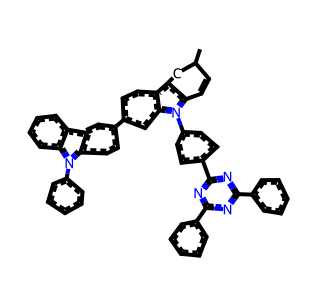 CC1C=Cc2c(c3ccc(-c4ccc5c(c4)c4ccccc4n5-c4ccccc4)cc3n2-c2ccc(-c3nc(-c4ccccc4)nc(-c4ccccc4)n3)cc2)C1